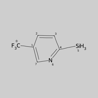 FC(F)(F)c1ccc([SiH3])nc1